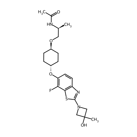 CC(=O)N[C@@H](C)CO[C@H]1CC[C@H](Oc2ccc3nc(N4CC(C)(O)C4)sc3c2F)CC1